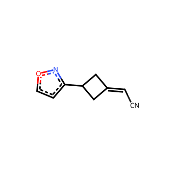 N#CC=C1CC(c2ccon2)C1